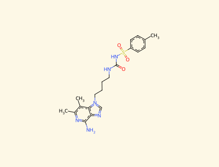 Cc1ccc(S(=O)(=O)NC(=O)NCCCCn2cnc3c(N)nc(C)c(C)c32)cc1